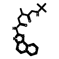 CN(CC(=O)Nc1nc2ccc3ccccc3c2s1)C(=O)CNC(C)(C)C